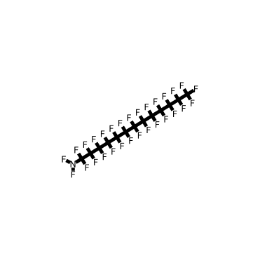 FN(F)C(F)(F)C(F)(F)C(F)(F)C(F)(F)C(F)(F)C(F)(F)C(F)(F)C(F)(F)C(F)(F)C(F)(F)C(F)(F)C(F)(F)C(F)(F)F